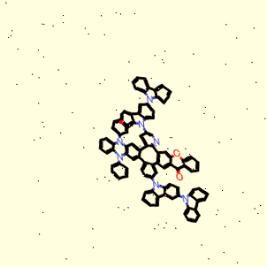 O=c1c2ccccc2oc2cc3c(cc12)c1cc(-n2c4ccccc4c4cc(-n5c6ccccc6c6ccccc65)ccc42)ccc1c1cc2c(cc1c1cc(-n4c5ccccc5c5cc(-n6c7ccccc7c7ccccc76)ccc54)cnc13)n(-c1ccccc1)c1ccccc1n2-c1ccccc1